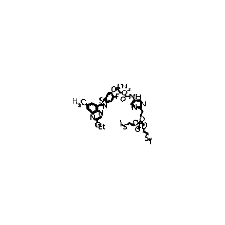 CCOc1cnc2c(-c3nc4cc(F)c(O[C@@H](C)COC(=O)Nc5cnc(CCOP(=O)(OCCSI)OCCSI)nc5)cc4s3)cc(C)cc2n1